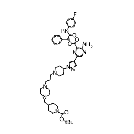 CC(C)(C)OC(=O)N1CCC(CN2CCN(CCCN3CCC(n4cc(-c5cnc(N)c(C(=O)O[C@@H](C(=O)Nc6ccc(F)cc6)c6ccccc6)n5)cn4)CC3)CC2)CC1